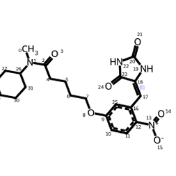 CN(C(=O)CCCCOc1ccc([N+](=O)[O-])c(/C=C2/NC(=O)NC2=O)c1)C1CCCCC1